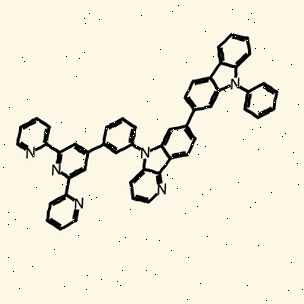 c1ccc(-n2c3ccccc3c3ccc(-c4ccc5c6ncccc6n(-c6cccc(-c7cc(-c8ccccn8)nc(-c8ccccn8)c7)c6)c5c4)cc32)cc1